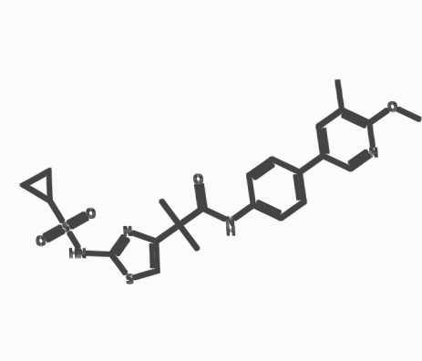 COc1ncc(-c2ccc(NC(=O)C(C)(C)c3csc(NS(=O)(=O)C4CC4)n3)cc2)cc1C